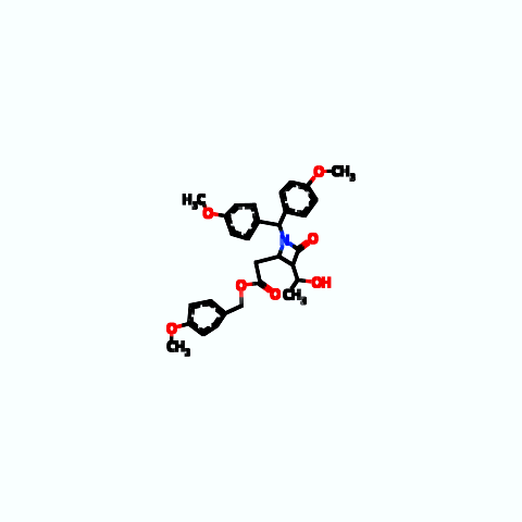 COc1ccc(COC(=O)CC2C(C(C)O)C(=O)N2C(c2ccc(OC)cc2)c2ccc(OC)cc2)cc1